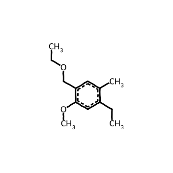 CCOCc1cc(C)c(CC)cc1OC